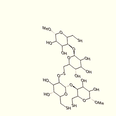 CO[C@@H]1OC(CS)[C@@H](O[C@@H]2OC(CSOC3C(O)[C@@H](O)C(CS)O[C@H]3O[C@@H]3C(CS)O[C@@H](OC)C(O)C3O)[C@@H](O)C(O)C2O)C(O)C1O